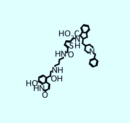 O=C(NCCCCNCC(O)c1ccc(O)c2[nH]c(=O)ccc12)c1ccc(CNC2(C(=O)O)c3ccccc3CC2CC2CCN(Cc3ccccc3)CC2)s1